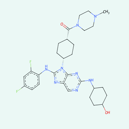 CN1CCN(C(=O)[C@H]2CC[C@@H](n3c(Nc4ccc(F)cc4F)nc4cnc(NC5CCC(O)CC5)nc43)CC2)CC1